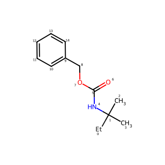 [CH2]CC(C)(C)NC(=O)OCc1ccccc1